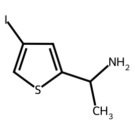 CC(N)c1cc(I)cs1